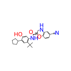 CC(C)(C)c1cc(C2CCCC2)c(O)cc1NC(=O)[C@H]1CNc2cc(C#N)ccc2O1